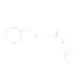 C=C(CC(=O)OC)C(=O)OCC(=O)Cc1ccccc1